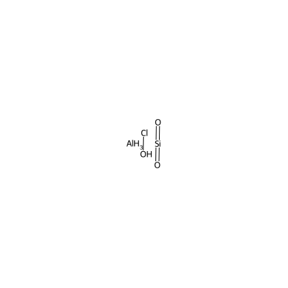 O=[Si]=O.OCl.[AlH3]